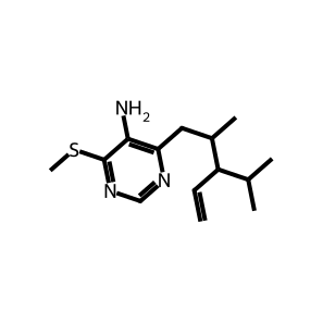 C=CC(C(C)C)C(C)Cc1ncnc(SC)c1N